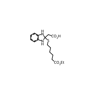 CCOC(=O)CCCCCSC1(CC(=O)O)Nc2ccccc2N1